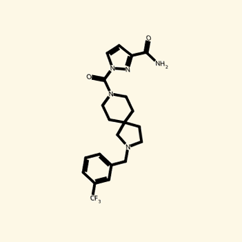 NC(=O)c1ccn(C(=O)N2CCC3(CCN(Cc4cccc(C(F)(F)F)c4)C3)CC2)n1